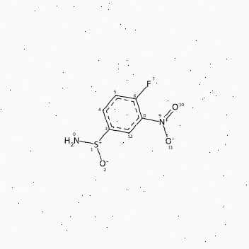 N[S+]([O-])c1ccc(F)c([N+](=O)[O-])c1